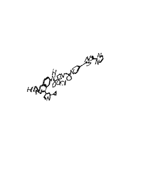 O=C(CN1CC[C@@](OCl)(C(=O)Nc2ccc3[nH]nc(-c4ccnc(C5CC5)c4)c3c2)C1)N1CC=C(c2ncc(-c3ncccn3)s2)CC1